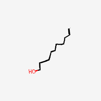 [CH]=CCCCCCCCCO